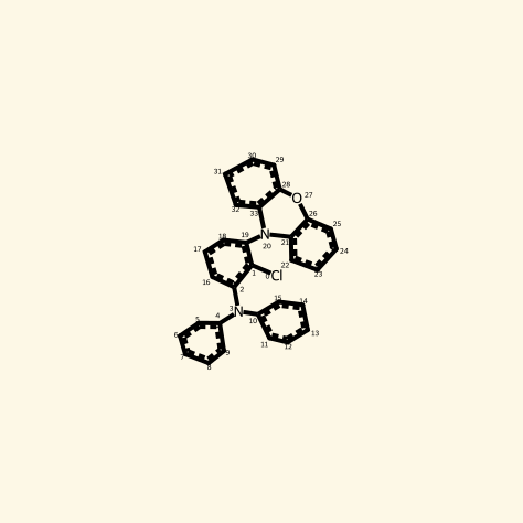 Clc1c(N(c2ccccc2)c2ccccc2)cccc1N1c2ccccc2Oc2ccccc21